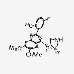 COc1cc2nc(-c3cc(F)ccc3O)nc(N[C@@H]3CNC[C@H]3C(C)C)c2cc1OC